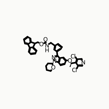 C[C@@H](Oc1ccc2c(c1)c(-c1cccc(CNC(=O)OCC3c4ccccc4-c4ccccc43)c1)nn2C1CCCCO1)c1c(Cl)cncc1Cl